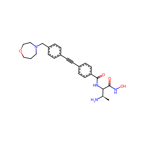 C[C@@H](N)C(NC(=O)c1ccc(C#Cc2ccc(CN3CCCOCC3)cc2)cc1)C(=O)NO